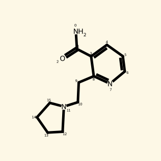 NC(=O)c1cccnc1CCN1CCCC1